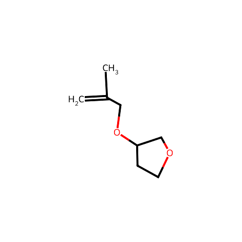 C=C(C)COC1CCOC1